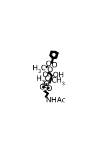 CC(=O)NCCCS(=O)(=O)OCC(C)(C)[C@@H](O)C(=O)OC(C)OC(=O)c1ccccc1